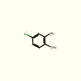 COc1ccc(Br)cc1C(C)(C)C